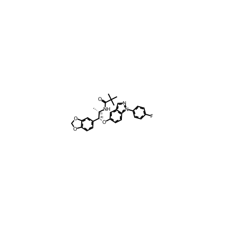 C[C@H](NC(=O)C(C)(C)C)[C@H](Oc1ccc2c(cnn2-c2ccc(F)cc2)c1)c1ccc2c(c1)OCO2